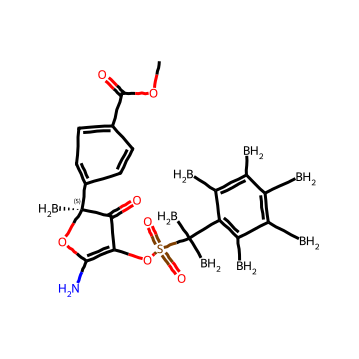 Bc1c(B)c(B)c(C(B)(B)S(=O)(=O)OC2=C(N)O[C@@](B)(c3ccc(C(=O)OC)cc3)C2=O)c(B)c1B